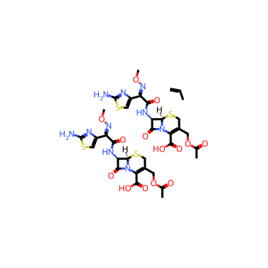 C=CC.CO/N=C(/C(=O)N[C@@H]1C(=O)N2C(C(=O)O)=C(COC(C)=O)CS[C@H]12)c1csc(N)n1.CO/N=C(/C(=O)N[C@@H]1C(=O)N2C(C(=O)O)=C(COC(C)=O)CS[C@H]12)c1csc(N)n1